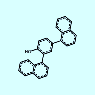 Oc1ccc(-c2cccc3ccccc23)cc1-c1cccc2ccccc12